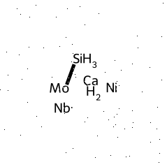 [CaH2].[Nb].[Ni].[SiH3][Mo]